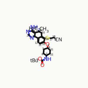 CC(C)(C)OC(=O)NC1CCC(Oc2ccc3c(c2SCCC#N)CC(C)(C)c2c(N)ncnc2-3)CC1